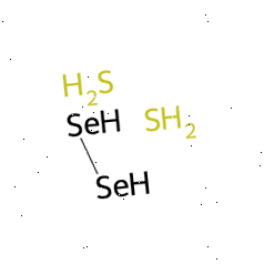 S.S.[SeH][SeH]